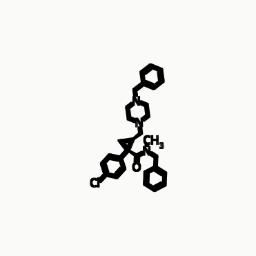 CN(Cc1ccccc1)C(=O)[C@@]1(c2ccc(Cl)cc2)C[C@H]1CN1CCN(Cc2ccccc2)CC1